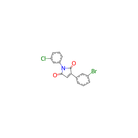 O=C1C=C(c2cccc(Br)c2)C(=O)N1c1cccc(Cl)c1